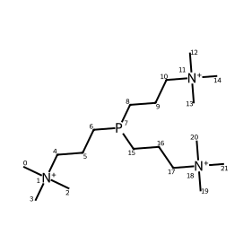 C[N+](C)(C)CCCP(CCC[N+](C)(C)C)CCC[N+](C)(C)C